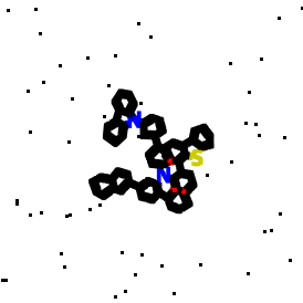 c1ccc(-c2ccc(-c3ccc4ccccc4c3)cc2N(c2ccc(-c3cccc(-n4c5ccccc5c5ccccc54)c3)cc2)c2ccccc2-c2cccc3c2sc2ccccc23)cc1